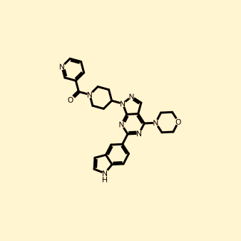 O=C(c1cccnc1)N1CCC(n2ncc3c(N4CCOCC4)nc(-c4ccc5[nH]ccc5c4)nc32)CC1